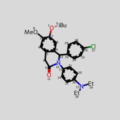 CC[C@@H](C)Oc1cc2c(cc1OC)CC(=O)N(c1ccc(N(CC)CC)cc1)C2c1ccc(Cl)cc1